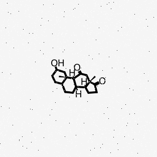 C[C@]12CC(O)CCC1CC[C@@H]1[C@@H]2C(=O)C[C@]2(C)C(=O)CC[C@@H]12